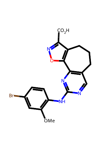 COc1cc(Br)ccc1Nc1ncc2c(n1)-c1onc(C(=O)O)c1CCC2